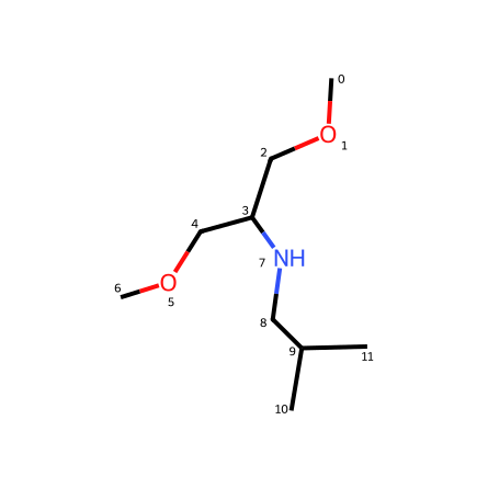 COCC(COC)NCC(C)C